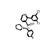 OC(c1cccnc1-c1cc(Cl)cc(Cl)c1)[C@H](c1ccc(F)cc1)N1CCCC1